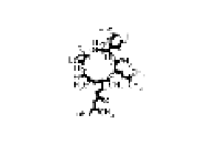 C=C(C)C/C=C1\CC(=C)C(CCC(=O)CC(C)CCCC)CC(=C)C(CC)NC(=C)C(C)CNC(=O)C(C2CCNC(C)=N2)NC1=C